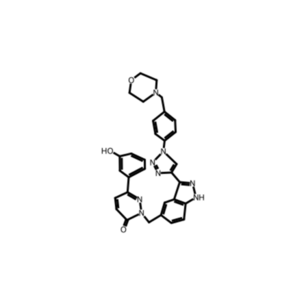 O=c1ccc(-c2cccc(O)c2)nn1Cc1ccc2[nH]nc(-c3cn(-c4ccc(CN5CCOCC5)cc4)nn3)c2c1